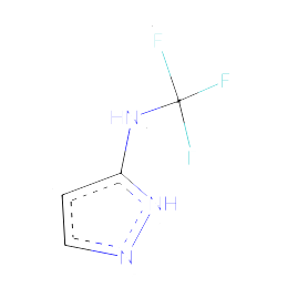 FC(F)(F)Nc1ccn[nH]1